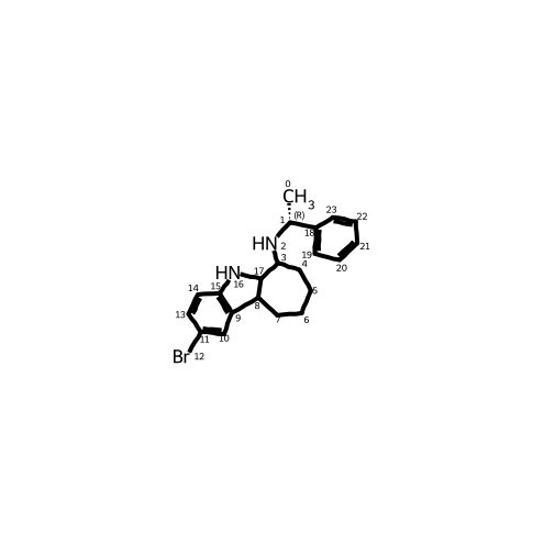 C[C@@H](NC1CCCCC2c3cc(Br)ccc3NC12)c1ccccc1